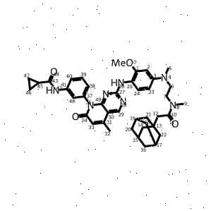 COc1cc(N(C)CCN(C)C(=O)CC23CC4CC(CC(C4)C2)C3)ccc1Nc1ncc2c(C)cc(=O)n(-c3cccc(NC(=O)C4CC4)c3)c2n1